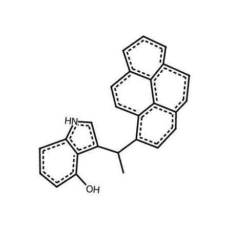 CC(c1ccc2ccc3cccc4ccc1c2c34)c1c[nH]c2cccc(O)c12